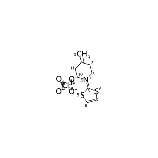 CC1CC[N+](=c2sccs2)CC1.[O-][Cl+3]([O-])([O-])[O-]